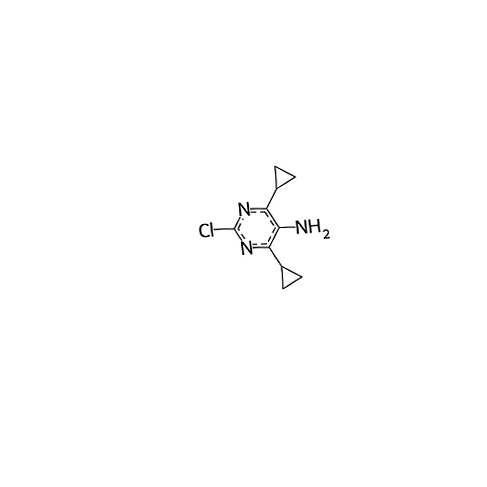 Nc1c(C2CC2)nc(Cl)nc1C1CC1